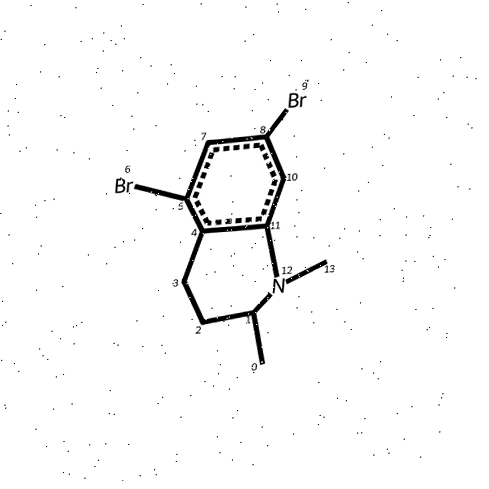 CC1CCc2c(Br)cc(Br)cc2N1C